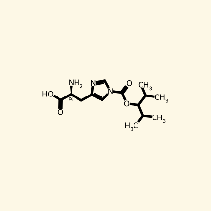 CC(C)C(OC(=O)n1cnc(C[C@H](N)C(=O)O)c1)C(C)C